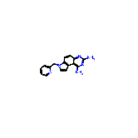 Nc1nc(N)c2c(ccc3c2ccn3Cc2ccccn2)n1